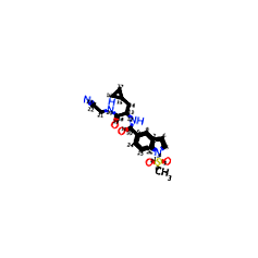 CS(=O)(=O)n1ccc2cc(C(=O)NC(CC3CC3)C(=O)NCC#N)ccc21